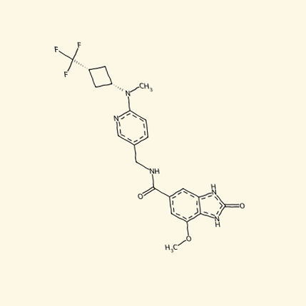 COc1cc(C(=O)NCc2ccc(N(C)[C@H]3C[C@@H](C(F)(F)F)C3)nc2)cc2[nH]c(=O)[nH]c12